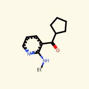 CCNc1ncccc1C(=O)C1CCCC1